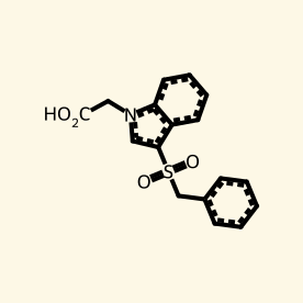 O=C(O)Cn1cc(S(=O)(=O)Cc2ccccc2)c2ccccc21